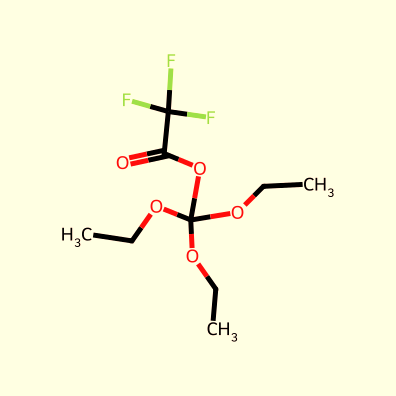 CCOC(OCC)(OCC)OC(=O)C(F)(F)F